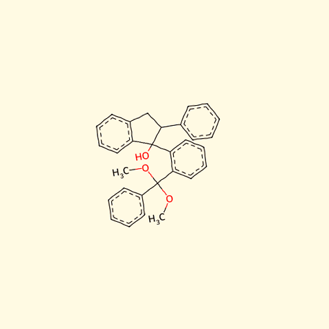 COC(OC)(c1ccccc1)c1ccccc1C1(O)c2ccccc2CC1c1ccccc1